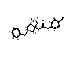 CCC1(CC(=O)Cc2ccc(F)cc2)CCN(Cc2ccccc2)C1